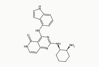 N[C@H]1CCCC[C@H]1Nc1nc(Nc2cccc3[nH]ccc23)c2c(=O)[nH]ccc2n1